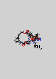 C=CC1C[C@]1(NC(=O)[C@@H]1C[C@@H]2CN1C(=O)[C@H](C(C)(C)C)NC(=O)OCCCCCc1cccc3c1CN(C3)C(=O)O2)C(=O)NS(=O)(=O)C1CC1